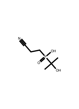 CC(C)(O)P(=O)(O)CCC#N